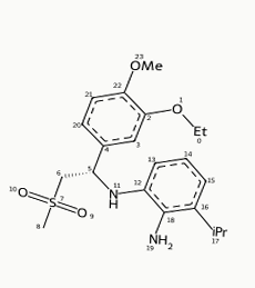 CCOc1cc([C@@H](CS(C)(=O)=O)Nc2cccc(C(C)C)c2N)ccc1OC